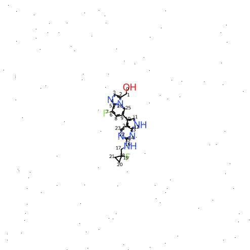 OCc1cnc2c(F)cc(-c3c[nH]c4nc(NCC5(F)CC5)ncc34)cn12